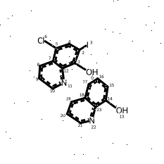 Oc1c(I)cc(Cl)c2cccnc12.Oc1cccc2cccnc12